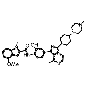 COc1cccc2c1cc(C(=O)Nc1ccc(-c3nc(C4CCC(N5CCN(C)CC5)CC4)n4ccnc(C)c34)cc1O)n2C